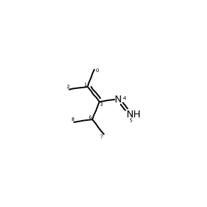 CC(C)=C(N=N)C(C)C